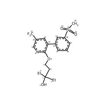 CCC(O)(CC)CCOc1ncc(C(F)(F)F)cc1-c1cccc(S(C)(=O)=O)c1